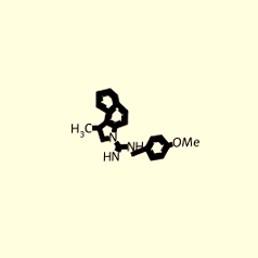 COc1ccc(CNC(=N)N2CC(C)c3c2ccc2ccccc32)cc1